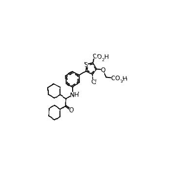 O=C(O)COc1c(C(=O)O)sc(-c2cccc(NC(C(=O)C3CCCCC3)C3CCCCC3)c2)c1Cl